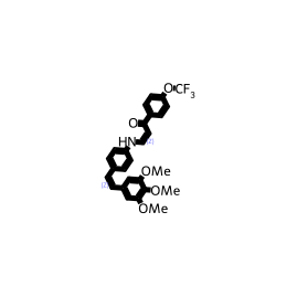 COc1cc(/C=C\c2ccc(N/C=C\C(=O)c3ccc(OC(F)(F)F)cc3)cc2)cc(OC)c1OC